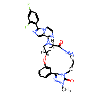 Cn1nc2n(c1=O)CCCCNC(=O)[C@@H]1C[C@@H](CN1c1nccn3c(-c4ccc(F)cc4F)ncc13)Oc1cccc-2c1